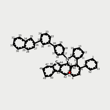 c1ccc(-c2ccccc2-c2ccccc2N(c2ccc(-c3cccc(-c4ccc5ccccc5c4)c3)cc2)c2cccc3c2sc2ccccc23)cc1